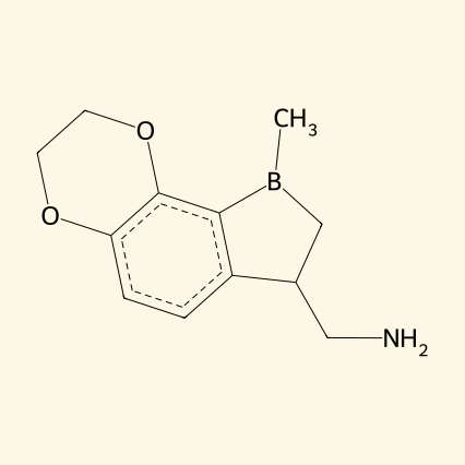 CB1CC(CN)c2ccc3c(c21)OCCO3